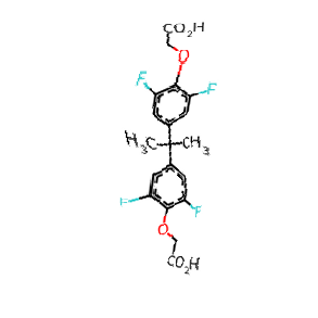 CC(C)(c1cc(F)c(OCC(=O)O)c(F)c1)c1cc(F)c(OCC(=O)O)c(F)c1